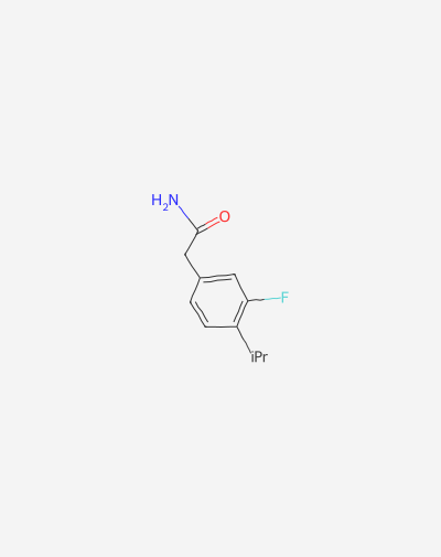 CC(C)c1ccc(CC(N)=O)cc1F